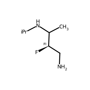 CC(C)NC(C)[C@H](F)CN